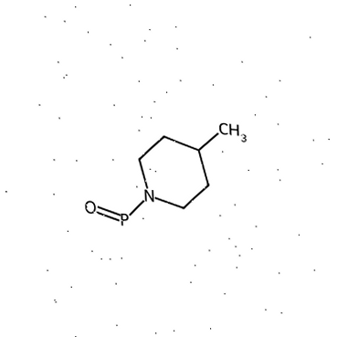 CC1CCN(P=O)CC1